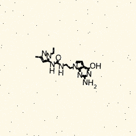 CCn1nc(C)cc1NC(=O)NCCn1ccc2c(O)nc(N)nc21